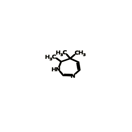 CC1NC=NC=CC1(C)C